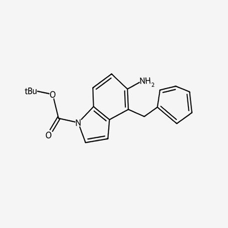 CC(C)(C)OC(=O)n1ccc2c(Cc3ccccc3)c(N)ccc21